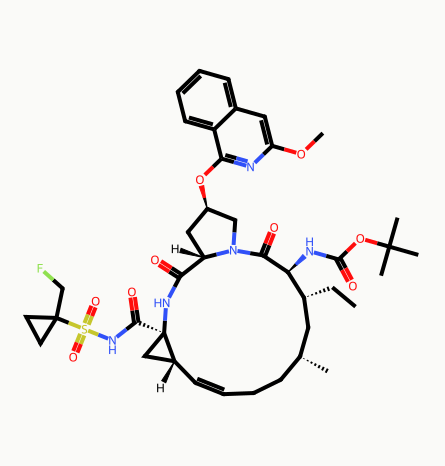 CC[C@@H]1C[C@H](C)CC/C=C\[C@@H]2C[C@@]2(C(=O)NS(=O)(=O)C2(CF)CC2)NC(=O)[C@@H]2C[C@@H](Oc3nc(OC)cc4ccccc34)CN2C(=O)[C@H]1NC(=O)OC(C)(C)C